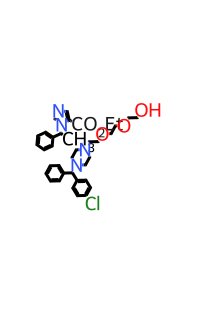 CCOC(=O)c1cncn1C(C)c1ccccc1.OCCOCCOCCN1CCN(C(c2ccccc2)c2ccc(Cl)cc2)CC1